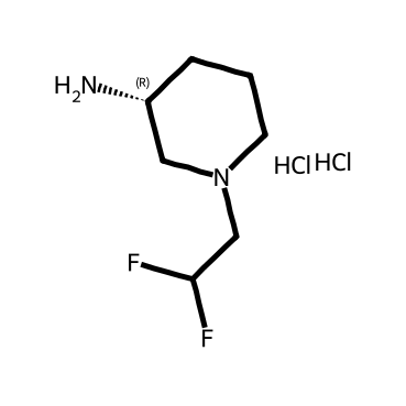 Cl.Cl.N[C@@H]1CCCN(CC(F)F)C1